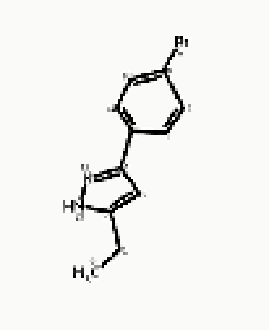 CCc1[c]c(-c2ccc(Br)cc2)n[nH]1